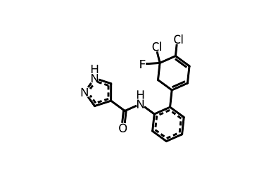 O=C(Nc1ccccc1C1=CC=C(Cl)C(F)(Cl)C1)c1cn[nH]c1